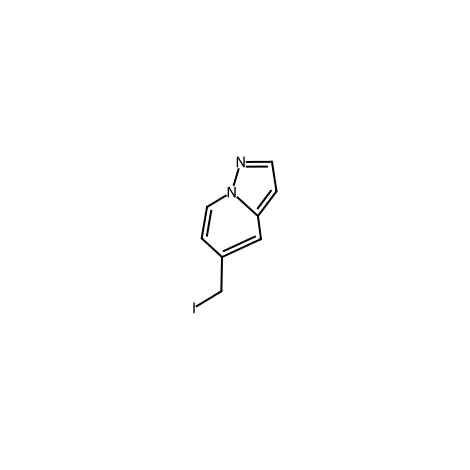 ICc1ccn2nccc2c1